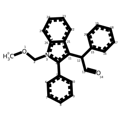 COCn1c(-c2ccccc2)c(C(C=O)c2ccccc2)c2ccccc21